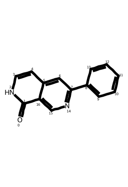 O=c1[nH]ccc2cc(-c3ccccc3)ncc12